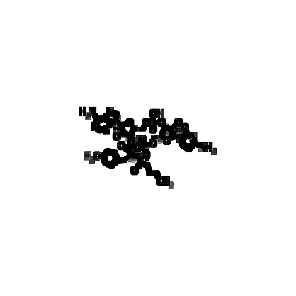 C=CCCC(=O)N[C@@H](Cc1ccc(C(F)(F)F)cc1)C(=O)O[C@H]1[C@@H](O)[C@H](n2cnc3c(N)ncnc32)O[C@@H]1COP(=O)(O)O[C@H]1[C@@H](O)[C@H](n2ccc(N)nc2=O)O[C@@H]1COP(=O)(O)O